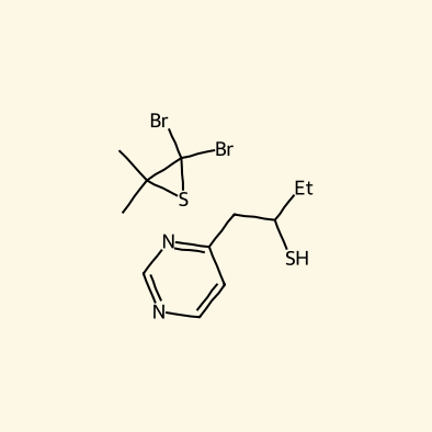 CC1(C)SC1(Br)Br.CCC(S)Cc1ccncn1